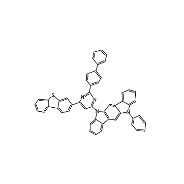 c1ccc(-c2ccc(-c3nc(-c4ccc5c(c4)sc4ccccc45)cc(-n4c5ccccc5c5cc6c(cc54)c4ccccc4n6-c4ccccc4)n3)cc2)cc1